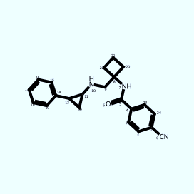 N#Cc1ccc(C(=O)NC2(CNC3CC3c3ccccc3)CCC2)cc1